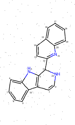 C1=Cc2c([nH]c3ccccc23)C(c2ccc3ccccc3n2)N1